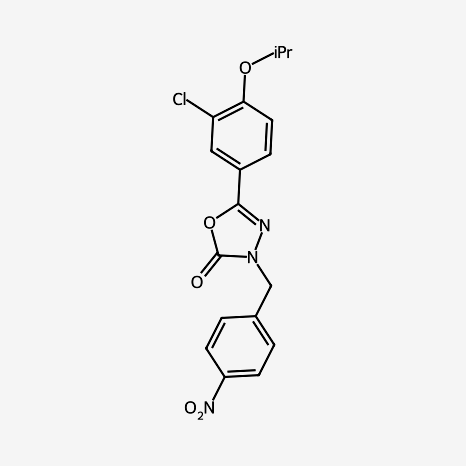 CC(C)Oc1ccc(-c2nn(Cc3ccc([N+](=O)[O-])cc3)c(=O)o2)cc1Cl